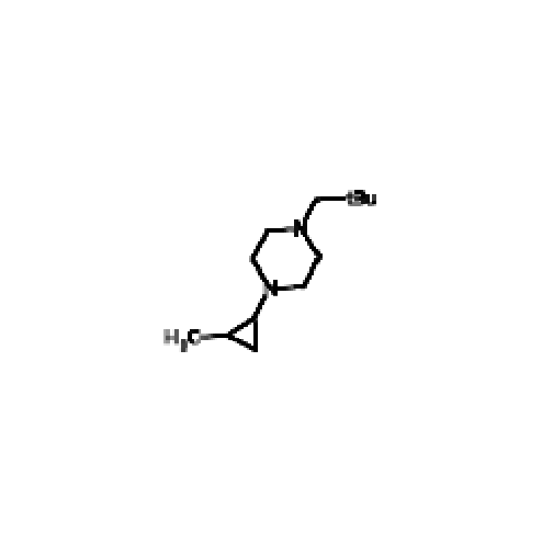 CC1CC1N1CCN(CC(C)(C)C)CC1